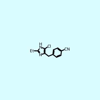 CCc1nc(Cc2ccc(C#N)cc2)c(Cl)[nH]1